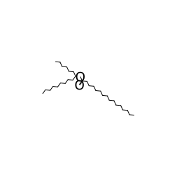 CCCCCCCCCCCCCCCC(=O)OC(CCCCCC)CCCCCCCCC